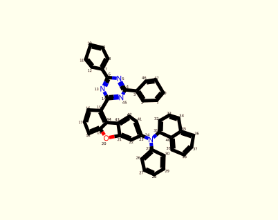 c1ccc(-c2nc(-c3ccccc3)nc(-c3cccc4oc5cc(N(c6ccccc6)c6cccc7ccccc67)ccc5c34)n2)cc1